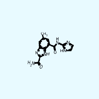 Cc1cc(C(=O)Nc2ncc[nH]2)c2[nH]c(C(N)=O)nc2c1